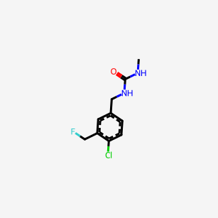 CNC(=O)NCc1ccc(Cl)c(CF)c1